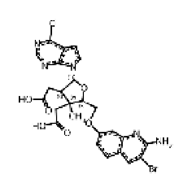 C[C@]1(CC(=O)O)[C@H](COc2ccc3cc(Br)c(N)nc3c2)O[C@@H](n2ccc3c(Cl)ncnc32)[C@@H]1CC(=O)O